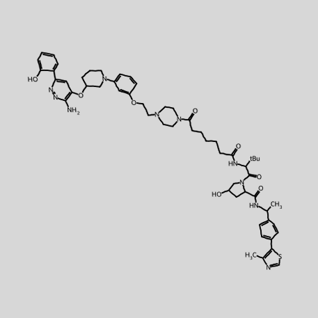 Cc1ncsc1-c1ccc(C(C)NC(=O)C2CC(O)CN2C(=O)C(NC(=O)CCCCCC(=O)N2CCN(CCOc3cccc(N4CCCC(Oc5cc(-c6ccccc6O)nnc5N)C4)c3)CC2)C(C)(C)C)cc1